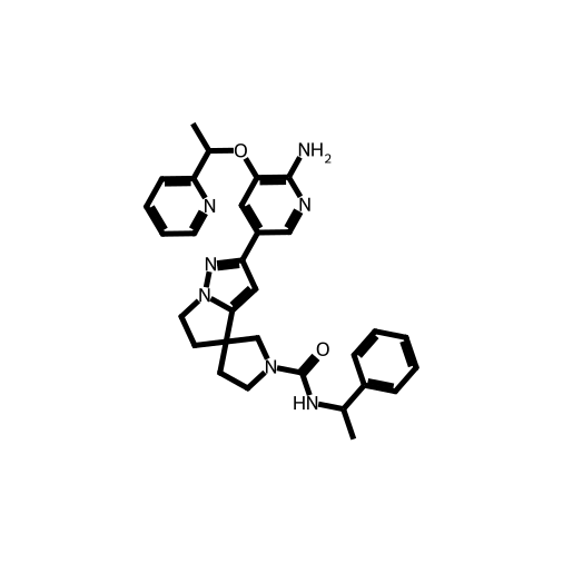 CC(NC(=O)N1CCC2(CCn3nc(-c4cnc(N)c(OC(C)c5ccccn5)c4)cc32)C1)c1ccccc1